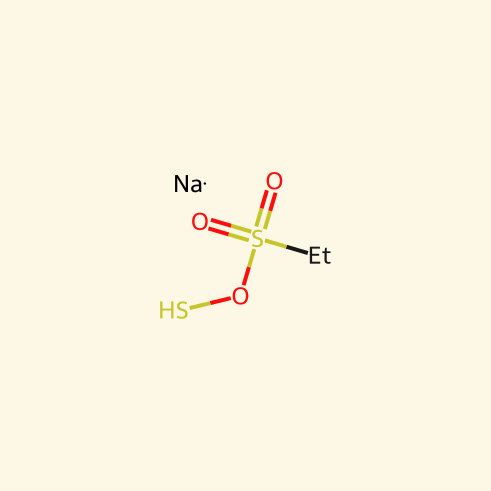 CCS(=O)(=O)OS.[Na]